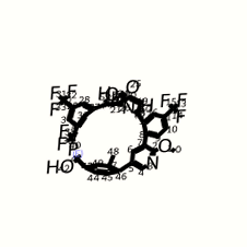 COc1ncc2cc1-c1ccc(C(F)(F)F)cc1[C@@H]1C=C[C@H]3[C@H](OC(=O)N13)c1cc(C(F)(F)F)cc(c1)C(F)(F)/P=C(/O)c1ccc-2c(C)c1